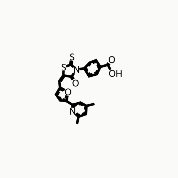 Cc1cc(C)nc(-c2ccc(C=C3SC(=S)N(c4ccc(C(=O)O)cc4)C3=O)o2)c1